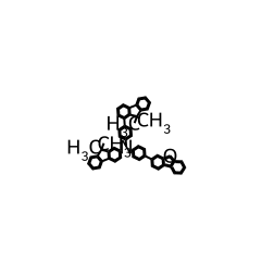 CC1(C)c2ccccc2-c2ccc(N(c3ccc(-c4ccc5c(c4)oc4ccccc45)cc3)c3ccc(-c4cccc5c4C(C)(C)c4ccccc4-5)cc3)cc21